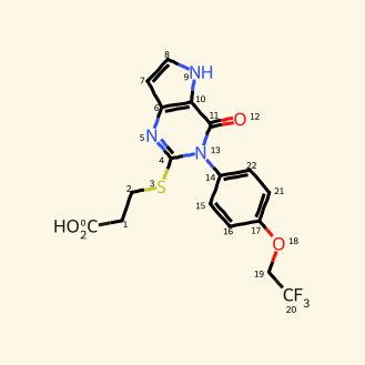 O=C(O)CCSc1nc2cc[nH]c2c(=O)n1-c1ccc(OCC(F)(F)F)cc1